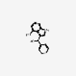 Oc1cccc2[nH]cc(C(O)C3=CCCC=C3)c12